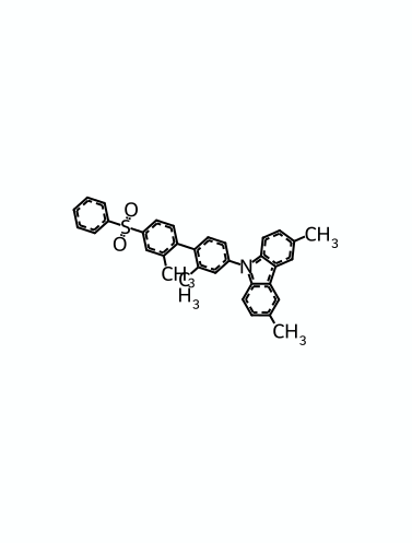 Cc1ccc2c(c1)c1cc(C)ccc1n2-c1ccc(-c2ccc(S(=O)(=O)c3ccccc3)cc2C)c(C)c1